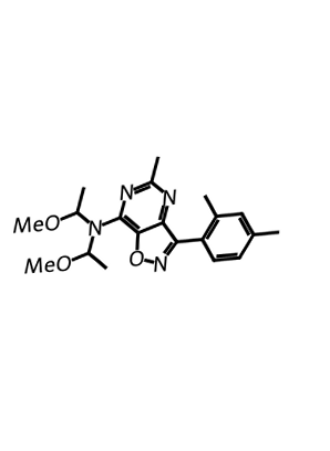 COC(C)N(c1nc(C)nc2c(-c3ccc(C)cc3C)noc12)C(C)OC